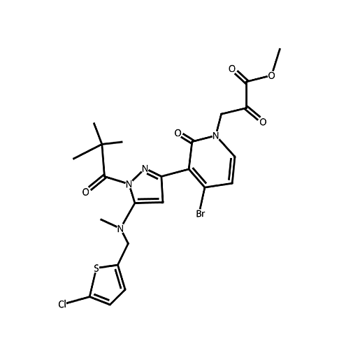 COC(=O)C(=O)Cn1ccc(Br)c(-c2cc(N(C)Cc3ccc(Cl)s3)n(C(=O)C(C)(C)C)n2)c1=O